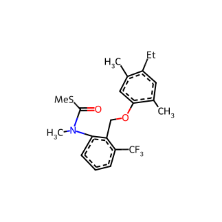 CCc1cc(C)c(OCc2c(N(C)C(=O)SC)cccc2C(F)(F)F)cc1C